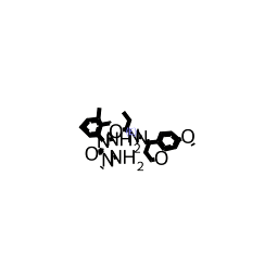 CC/C(=N\N=C1CCOc2cc(OC)ccc21)OCc1c(C)cccc1N(N)C(=O)N(C)N